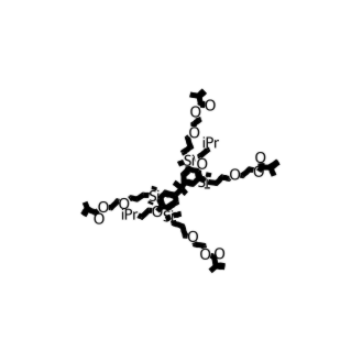 C=C(C)C(=O)OCCOCCC[Si](C)(C)c1cc(C(C)(C)c2cc([Si](C)(C)CCCOCCOC(=O)C(=C)C)c(OCCC(C)C)c([Si](C)(C)CCCOCCOC(=O)C(=C)C)c2)cc([Si](C)(C)CCCOCCOC(=O)C(=C)C)c1OCCC(C)C